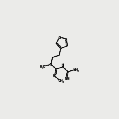 C/N=C(\NC(=N)N)N(C)CCc1ccoc1